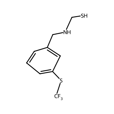 FC(F)(F)Sc1cccc(CNCS)c1